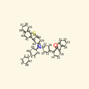 c1ccc(-c2ccc(N(c3ccc(-c4cccc5c4oc4ccccc45)cc3)c3ccc4sc5c6ccccc6ccc5c4c3)cc2)cc1